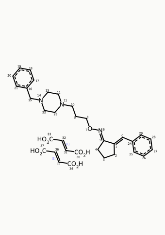 C(=C1CCCC1=NOCCCN1CCN(Cc2ccccc2)CC1)c1ccccc1.O=C(O)/C=C/C(=O)O.O=C(O)/C=C/C(=O)O